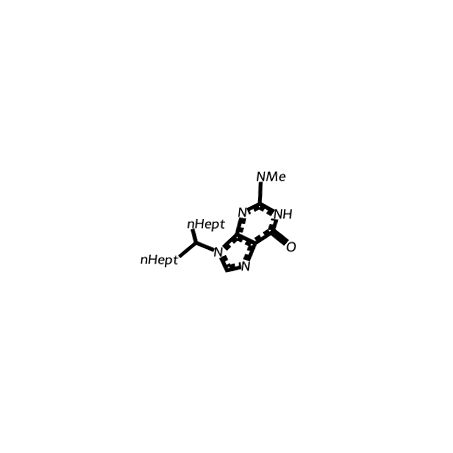 CCCCCCCC(CCCCCCC)n1cnc2c(=O)[nH]c(NC)nc21